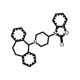 O=c1oc2ccccc2n1C1CCN(C2c3ccccc3CCc3ccccc32)CC1